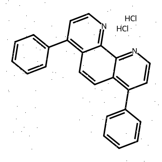 Cl.Cl.c1ccc(-c2ccnc3c2ccc2c(-c4ccccc4)ccnc23)cc1